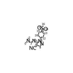 CN(C)C=Nc1c(C#N)cnn1-c1ccc(S(C)(=O)=O)cc1